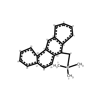 CS(C)(C)Cc1c2ccccc2cc2c1ccc1ccccc12